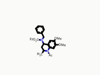 CCOC(=O)N(Cc1ccccc1)C1CC(C)N(C(C)=O)c2cc(OC)c(OC)cc21